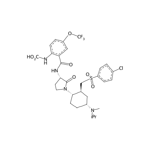 CC(C)N(C)[C@@H]1CC[C@H](N2CC[C@H](NC(=O)c3cc(OC(F)(F)F)ccc3NC(=O)O)C2=O)[C@@H](CS(=O)(=O)c2ccc(Cl)cc2)C1